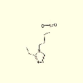 CCc1nccn1CCCCS(C)(=O)=O